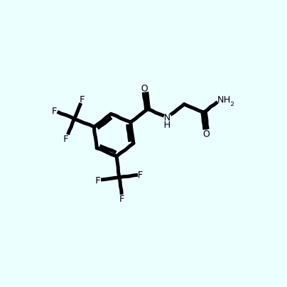 NC(=O)CNC(=O)c1cc(C(F)(F)F)cc(C(F)(F)F)c1